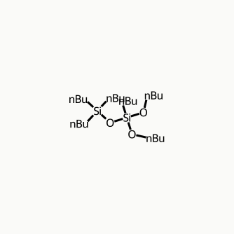 CCCCO[Si](CCCC)(OCCCC)O[Si](CCCC)(CCCC)CCCC